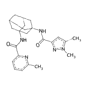 Cc1cccc(C(=O)NC23CC4CC(C2)CC(NC(=O)c2cc(C)n(C)n2)(C4)C3)n1